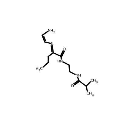 CCC/C(=N\C=C/N)C(=O)NCCNC(=O)C(C)C